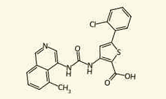 Cc1cccc2cncc(NC(=O)Nc3cc(-c4ccccc4Cl)sc3C(=O)O)c12